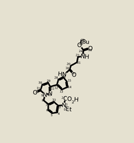 CCN(C(=O)O)c1cccc(Cn2nc(-c3cccc(NC(=O)CCCNC(=O)OC(C)(C)C)c3)ccc2=O)c1